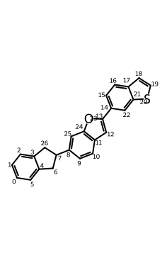 c1ccc2c(c1)CC(c1ccc3cc(-c4ccc5ccsc5c4)oc3c1)C2